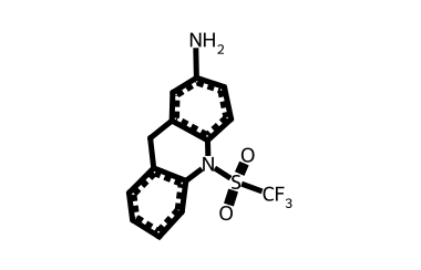 Nc1ccc2c(c1)Cc1ccccc1N2S(=O)(=O)C(F)(F)F